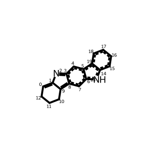 C1=C2N=c3cc4c(cc3=C2CCC1)[nH]c1ccccc14